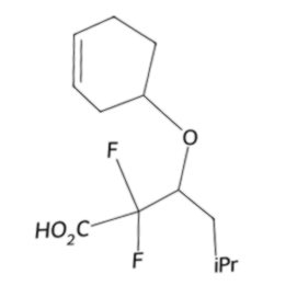 CC(C)CC(OC1CC=CCC1)C(F)(F)C(=O)O